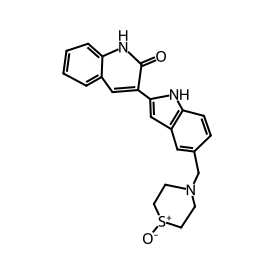 O=c1[nH]c2ccccc2cc1-c1cc2cc(CN3CC[S+]([O-])CC3)ccc2[nH]1